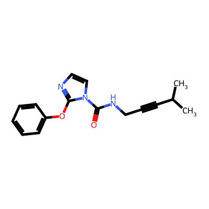 CC(C)C#CCNC(=O)n1ccnc1Oc1ccccc1